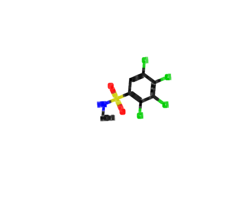 CCCCCCCCNS(=O)(=O)c1cc(Cl)c(Cl)c(Cl)c1Cl